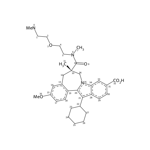 CNCCOCCN(C)C(=O)[C@@]1(C)Cc2cc(OC)ccc2-c2c(C3CCCCC3)c3ccc(C(=O)O)cc3n2C1